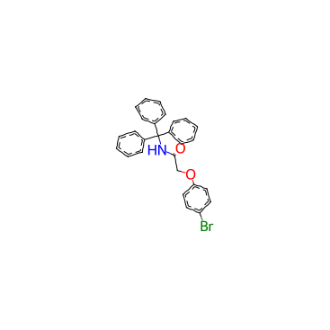 O=C(COc1ccc(Br)cc1)NC(c1ccccc1)(c1ccccc1)c1ccccc1